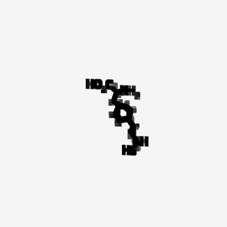 N[C@@H](Cc1ccc(/C=N/NS)cc1)C(=O)O